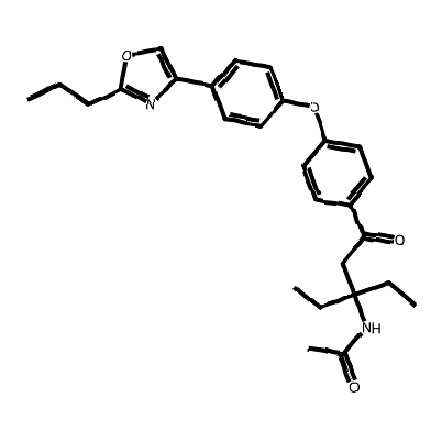 CCCc1nc(-c2ccc(Oc3ccc(C(=O)CC(CC)(CC)NC(C)=O)cc3)cc2)co1